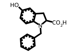 O=C(O)C1Cc2cc(O)ccc2N1Cc1ccccc1